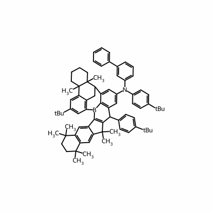 CC(C)(C)c1ccc(C2C3=C(B4c5cc(C(C)(C)C)cc6c5CC(c5cc(N(c7ccc(C(C)(C)C)cc7)c7cccc(-c8ccccc8)c7)cc2c54)C2(C)CCCCC62C)c2cc4c(cc2C3(C)C)C(C)(C)CCC4(C)C)cc1